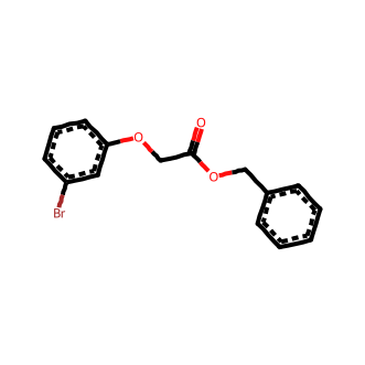 O=C(COc1cccc(Br)c1)OCc1ccccc1